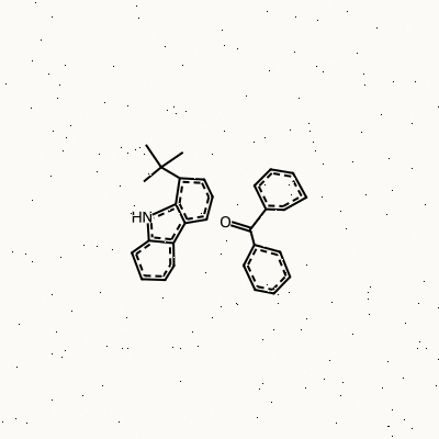 CC(C)(C)c1cccc2c1[nH]c1ccccc12.O=C(c1ccccc1)c1ccccc1